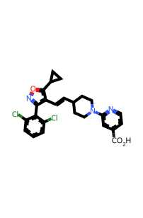 O=C(O)c1ccnc(N2CCC(C=Cc3c(-c4c(Cl)cccc4Cl)noc3C3CC3)CC2)c1